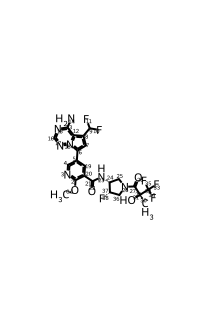 COc1ncc(-c2cc(C(F)F)c3c(N)ncnn23)cc1C(=O)N[C@@H]1CN(C(=O)[C@@](C)(O)C(F)(F)F)C[C@@H]1F